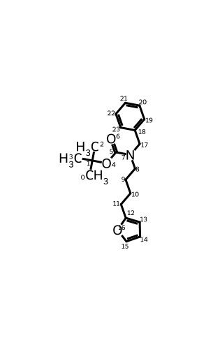 CC(C)(C)OC(=O)N(CCCCc1ccco1)Cc1ccccc1